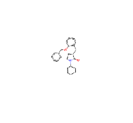 O=C1C(Cc2ccccc2OCc2ccccc2)CCN1C1CCCCC1